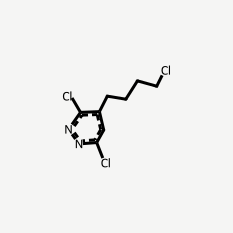 ClCCCCc1cc(Cl)nnc1Cl